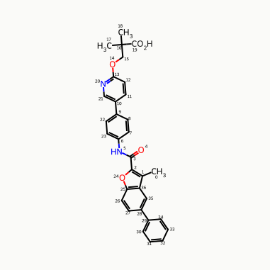 Cc1c(C(=O)Nc2ccc(-c3ccc(OCC(C)(C)C(=O)O)nc3)cc2)oc2ccc(-c3ccccc3)cc12